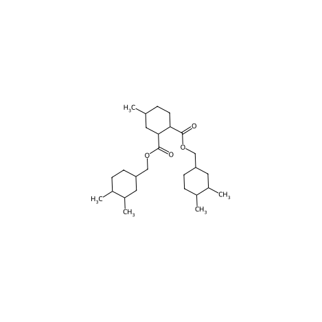 CC1CCC(C(=O)OCC2CCC(C)C(C)C2)C(C(=O)OCC2CCC(C)C(C)C2)C1